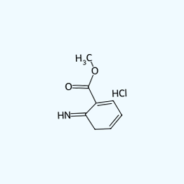 COC(=O)C1=CC=CCC1=N.Cl